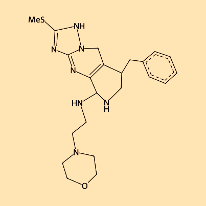 CSC1=NC2=NC3=C(CN2N1)C(Cc1ccccc1)CNC3NCCN1CCOCC1